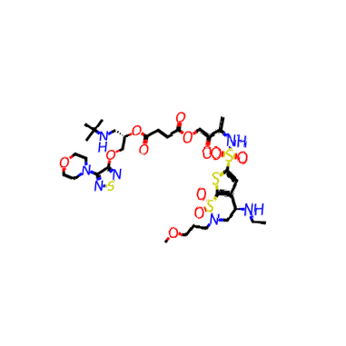 CCN[C@H]1CN(CCCOC)S(=O)(=O)c2sc(S(=O)(=O)NC(C)C(=O)COC(=O)CCC(=O)O[C@@H](CNC(C)(C)C)COc3nsnc3N3CCOCC3)cc21